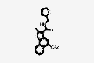 CC(=O)Oc1cc2c(C(=O)NCC3CCCO3)c(C)oc2c2ccccc12